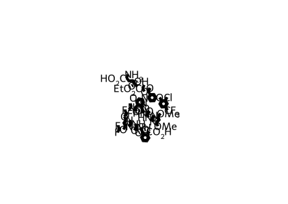 CCOC(=O)C(C)OC(=O)c1cc(Oc2ccc(C(F)(F)F)cc2Cl)ccc1[N+](=O)[O-].COc1cc(OC)nc(NC(=O)NS(=O)(=O)c2ncccc2C(=O)N(C)C)n1.CP(=O)(O)CCC(N)C(=O)O.O=C(Nc1nc(OC(F)F)cc(OC(F)F)n1)NS(=O)(=O)c1ccccc1C(=O)O